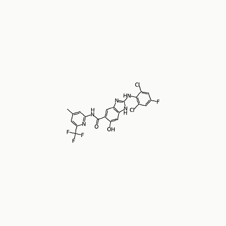 Cc1cc(NC(=O)c2cc3nc(Nc4c(Cl)cc(F)cc4Cl)[nH]c3cc2O)nc(C(F)(F)F)c1